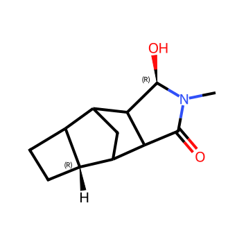 CN1C(=O)C2C3CC(C4CC[C@H]43)C2[C@H]1O